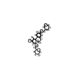 Cc1c2n(c(OCC3CCCCO3)cc1=O)CCc1cc(OCC3CCCOC3)ccc1-2